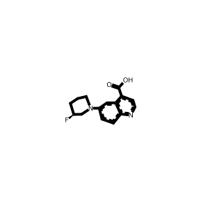 O=C(O)c1ccnc2ccc(N3CCC[C@H](F)C3)cc12